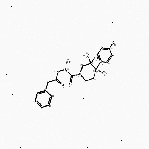 CC(C)[C@@H](NC(=O)Cc1ccccc1)C(=O)N1CC[C@](O)(c2ccc(Cl)cc2)C(C)(C)C1